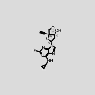 C#C[C@]1(CO)O[C@H](n2cnc3c(NC4CC4)nc(F)nc32)C[C@@H]1O